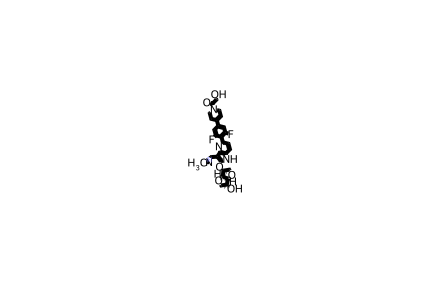 C/N=C/c1c(O[C@@H]2CO[C@H]3[C@@H]2OC[C@H]3O)[nH]c2ccc(-c3c(F)cc(C4=CCN(C(=O)CO)CC4)cc3F)nc12